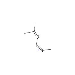 C/N=C\N=C(C)C